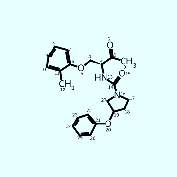 CC(=O)[C@H](COc1ccccc1C)NC(=O)N1CCC(Oc2ccccc2)C1